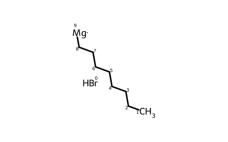 Br.CCCCCCC[CH2][Mg]